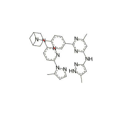 Cc1cc(Nc2cc(C)[nH]n2)nc(-c2ccc(N3CC4CC(C3)N4Cc3ccc(-n4nccc4C)nc3)nc2)n1